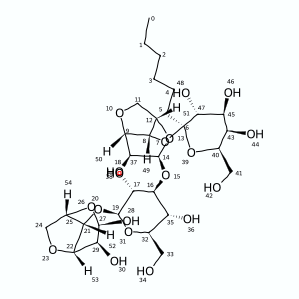 CCCCCC[C@@]1(O[C@@H]2[C@H]3OC[C@@H]2O[C@@H](O[C@@H]2[C@@H](O)[C@H](O[C@@H]4[C@H]5OC[C@@H]4O[C@@H](O)[C@H]5O)O[C@H](CO)[C@H]2O)[C@H]3O)O[C@H](CO)[C@H](O)[C@H](O)[C@H]1O